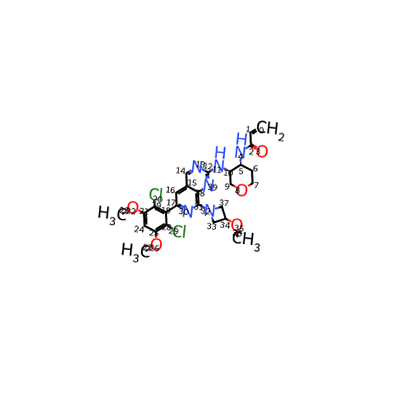 C=CC(=O)N[C@H]1CCOC[C@H]1Nc1ncc2cc(-c3c(Cl)c(OC)cc(OC)c3Cl)nc(N3CC(OC)C3)c2n1